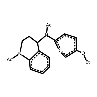 CCOc1ccc(N(C(C)=O)C2CCN(C(C)=O)c3ccccc32)cc1